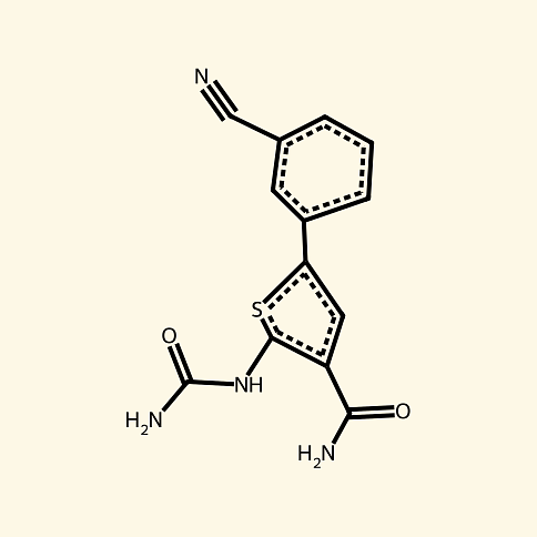 N#Cc1cccc(-c2cc(C(N)=O)c(NC(N)=O)s2)c1